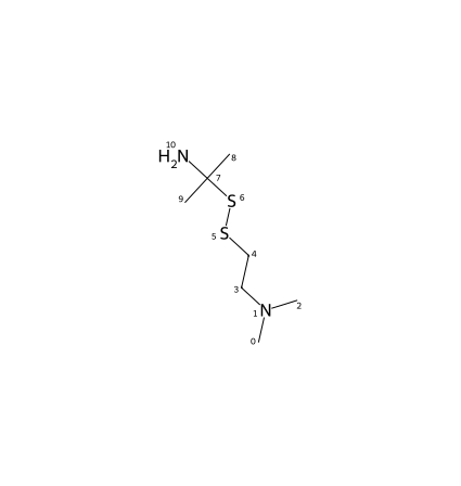 CN(C)CCSSC(C)(C)N